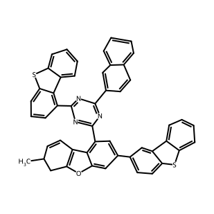 CC1C=Cc2c(oc3cc(-c4ccc5sc6ccccc6c5c4)cc(-c4nc(-c5ccc6ccccc6c5)nc(-c5cccc6sc7ccccc7c56)n4)c23)C1